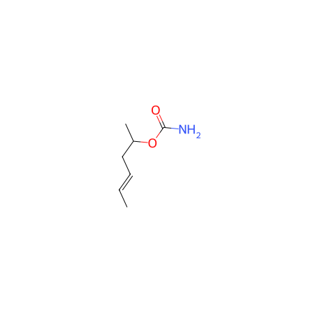 CC=CCC(C)OC(N)=O